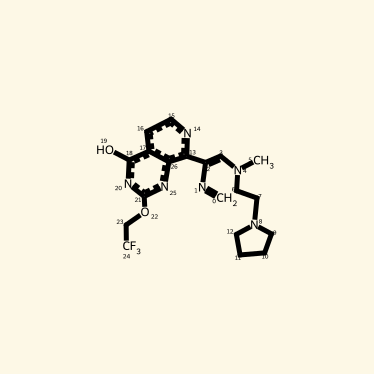 C=N/C(=C\N(C)CCN1CCCC1)c1nccc2c(O)nc(OCC(F)(F)F)nc12